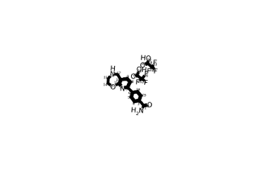 NC(=O)c1ccc(-c2ccc3c(n2)OCCNC3)cc1.O=C(O)C(F)(F)F.O=C(O)C(F)(F)F